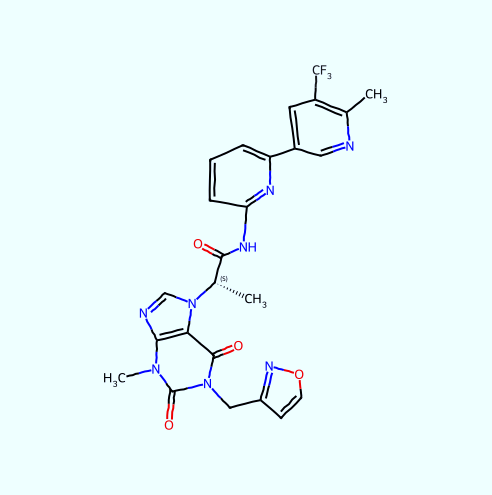 Cc1ncc(-c2cccc(NC(=O)[C@H](C)n3cnc4c3c(=O)n(Cc3ccon3)c(=O)n4C)n2)cc1C(F)(F)F